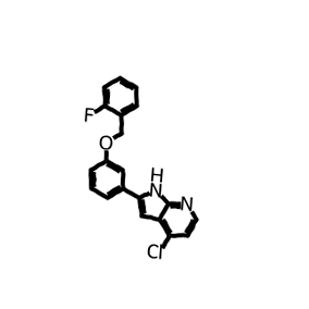 Fc1ccccc1COc1cccc(-c2cc3c(Cl)ccnc3[nH]2)c1